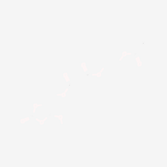 CCC(C)(C)C(=O)OCCOC(=O)CC(=O)OCC1OC(=O)OC1OC